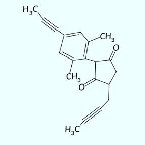 CC#CCC1CC(=O)C(c2c(C)cc(C#CC)cc2C)C1=O